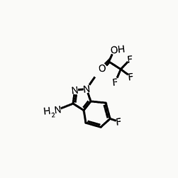 Cn1nc(N)c2ccc(F)cc21.O=C(O)C(F)(F)F